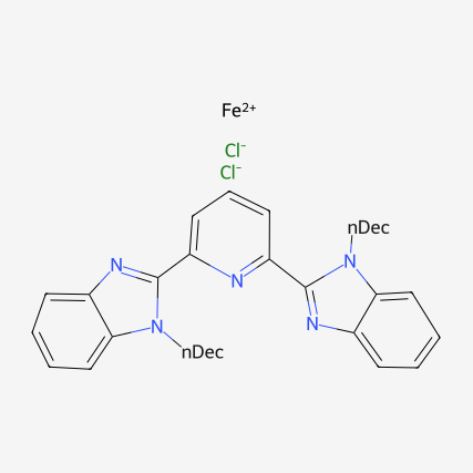 CCCCCCCCCCn1c(-c2cccc(-c3nc4ccccc4n3CCCCCCCCCC)n2)nc2ccccc21.[Cl-].[Cl-].[Fe+2]